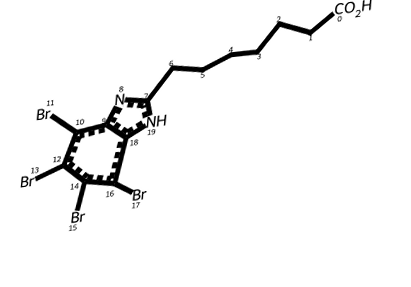 O=C(O)CCCCCCc1nc2c(Br)c(Br)c(Br)c(Br)c2[nH]1